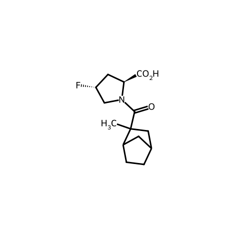 CC1(C(=O)N2C[C@H](F)C[C@H]2C(=O)O)CC2CCC1C2